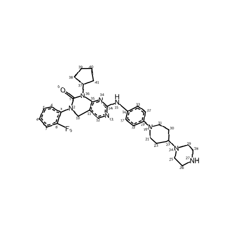 O=C1N(c2ccccc2F)Cc2cnc(Nc3ccc(N4CCC(N5CCNCC5)CC4)cc3)nc2N1C1CCCC1